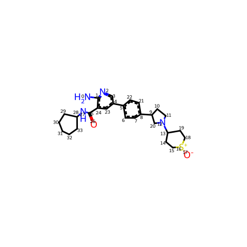 Nc1ncc(-c2ccc(C3CCN(C4CC[S+]([O-])CC4)C3)cc2)cc1C(=O)NC1CCCCC1